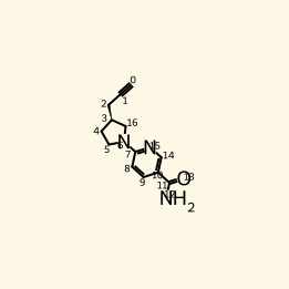 C#CC[C@@H]1CCN(c2ccc(C(N)=O)cn2)C1